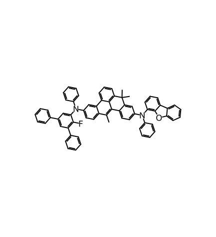 Cc1c2c3c(cccc3c3cc(N(c4ccccc4)c4cc(-c5ccccc5)cc(-c5ccccc5)c4F)ccc13)C(C)(C)c1cc(N(c3ccccc3)c3cccc4c3oc3ccccc34)ccc1-2